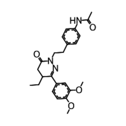 CCC1CC(=O)N(CCc2ccc(NC(C)=O)cc2)N=C1c1ccc(OC)c(OC)c1